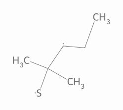 CC[CH]C(C)(C)[S]